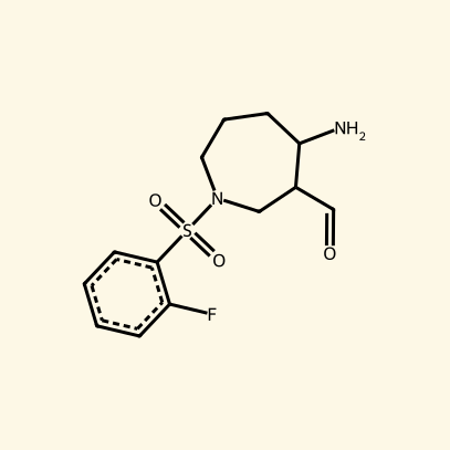 NC1CCCN(S(=O)(=O)c2ccccc2F)CC1C=O